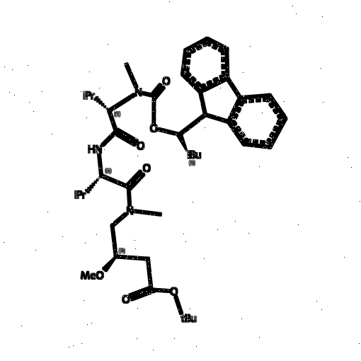 CC[C@H](C)C(OC(=O)N(C)[C@H](C(=O)N[C@H](C(=O)N(C)C[C@@H](CC(=O)OC(C)(C)C)OC)C(C)C)C(C)C)C1c2ccccc2-c2ccccc21